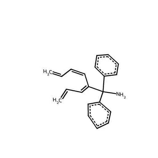 C=C/C=C\C(=C/C=C)C(N)(c1ccccc1)c1ccccc1